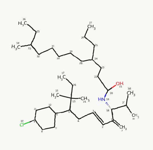 C=C(/C=C/CC(C1CCC(Cl)CC1)C(C)(C)CC)[C@H](NC(O)CCC(CCC)CCCCCC(C)CC)C(C)C